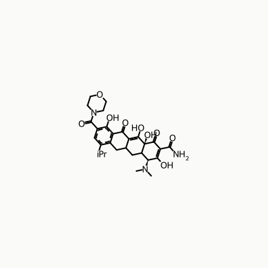 CC(C)c1cc(C(=O)N2CCOCC2)c(O)c2c1CC1CC3[C@H](N(C)C)C(O)=C(C(N)=O)C(=O)[C@@]3(O)C(O)=C1C2=O